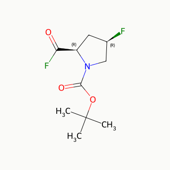 CC(C)(C)OC(=O)N1C[C@H](F)C[C@@H]1C(=O)F